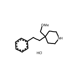 COCC1(CCc2ccccc2)CCNCC1.Cl